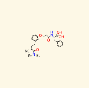 CCN(CC)C(=O)C(C#N)CCc1cccc(OCCC(=O)N[C@@H](Cc2ccccc2)B(O)O)c1